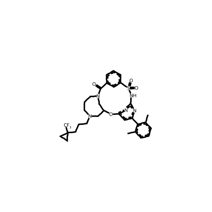 Cc1cccc(C)c1-c1cc2nc(n1)NS(=O)(=O)c1cccc(c1)C(=O)N1CCCN(CCCC3(C(F)(F)F)CC3)CC(C1)O2